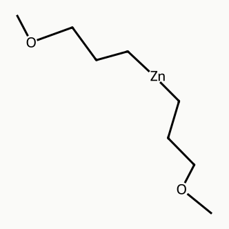 COCC[CH2][Zn][CH2]CCOC